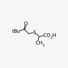 CC(SCC(=O)C(C)(C)C)C(=O)O